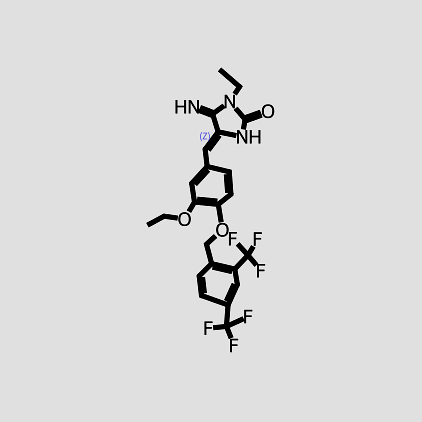 CCOc1cc(/C=C2\NC(=O)N(CC)C2=N)ccc1OCc1ccc(C(F)(F)F)cc1C(F)(F)F